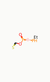 CCPB=P(=O)OC=S